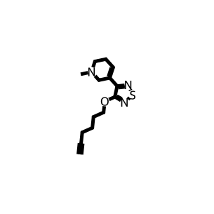 C#CCCCCOc1nsnc1C1=CCCN(C)C1